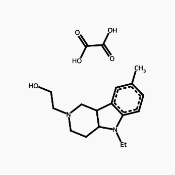 CCN1c2ccc(C)cc2C2CN(CCO)CCC21.O=C(O)C(=O)O